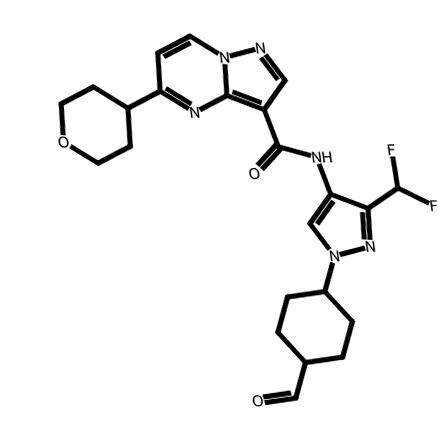 O=CC1CCC(n2cc(NC(=O)c3cnn4ccc(C5CCOCC5)nc34)c(C(F)F)n2)CC1